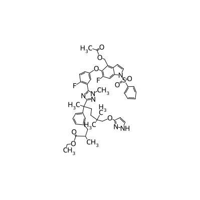 CCOC(=O)C(C)Cc1cccc(C(C)(CCC(C)(C)COc2cc[nH]n2)c2nc(-c3cc(Oc4c(F)cc5c(ccn5S(=O)(=O)c5ccccc5)c4COC(C)=O)ccc3F)n(C)n2)c1